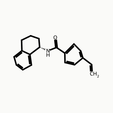 C=Cc1ccc(C(=O)N[C@H]2CCCc3ccccc32)cc1